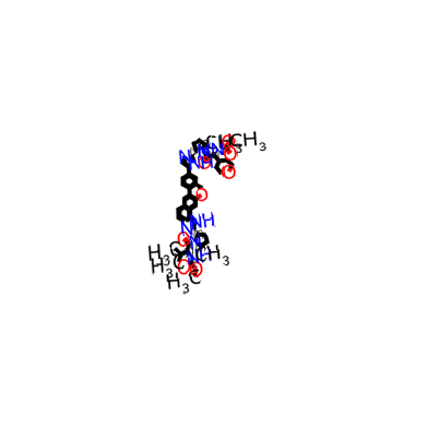 COC(=O)N[C@H](C(=O)N1[C@@H](C)CC[C@H]1c1nc2ccc3cc4c(cc3c2[nH]1)OCc1cc(-c2cnc([C@@H]3CC[C@H](C)N3C(=O)[C@@H](NC(=O)OC)C3CCOCC3)[nH]2)ccc1-4)C(C)C